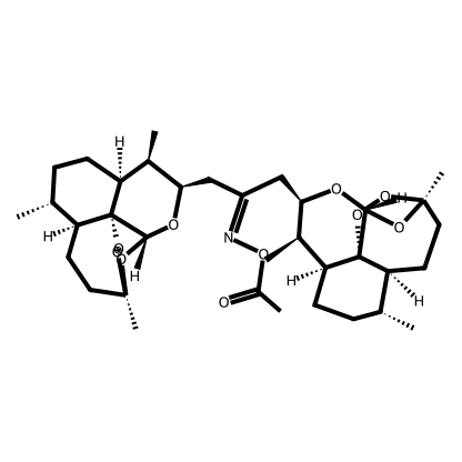 CC(=O)ON=C(C[C@H]1O[C@@H]2O[C@]3(C)CC[C@H]4[C@H](C)CC[C@@H]([C@H]1C)[C@@]24OO3)C[C@H]1O[C@@H]2O[C@]3(C)CC[C@H]4[C@H](C)CC[C@@H]([C@H]1C)[C@@]24OO3